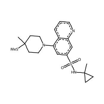 CSC1(C)CCN(c2cc(S(=O)(=O)NC3(C)CC3)cc3ncccc23)CC1